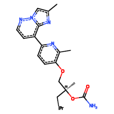 Cc1cn2nccc(-c3ccc(OC[C@](C)(CC(C)C)OC(N)=O)c(C)n3)c2n1